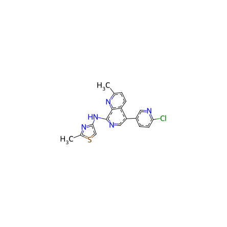 Cc1ccc2c(-c3ccc(Cl)nc3)cnc(Nc3csc(C)n3)c2n1